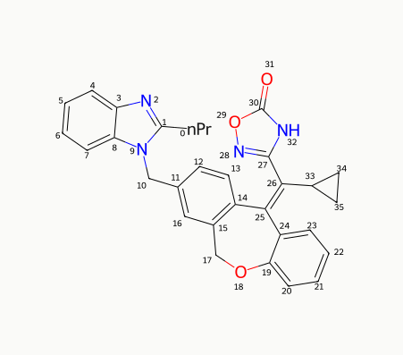 CCCc1nc2ccccc2n1Cc1ccc2c(c1)COc1ccccc1/C2=C(/c1noc(=O)[nH]1)C1CC1